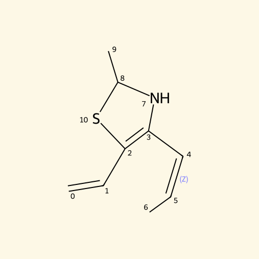 C=CC1=C(/C=C\C)NC(C)S1